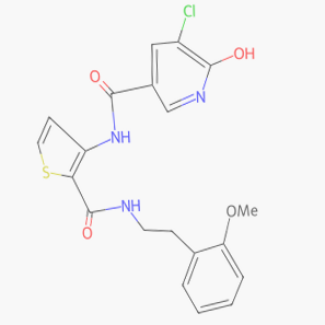 COc1ccccc1CCNC(=O)c1sccc1NC(=O)c1cnc(O)c(Cl)c1